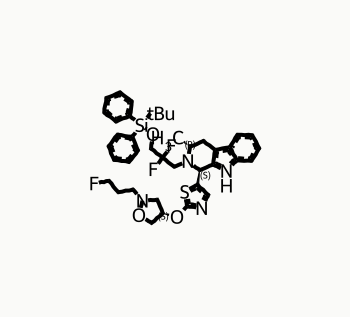 C[C@@H]1Cc2c([nH]c3ccccc23)[C@@H](c2cnc(O[C@@H]3CON(CCCF)C3)s2)N1CC(F)(F)CO[Si](c1ccccc1)(c1ccccc1)C(C)(C)C